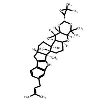 CC(C)=CCc1ccc2c3c([nH]c2c1)[C@@]1(C)[C@@H](CC[C@@]2(O)[C@@]45O[C@@H]4[C@@H]4O[C@H](C6OC6(C)C)OC(C)(C)[C@H]4O[C@H]5CC[C@@]21C)C3